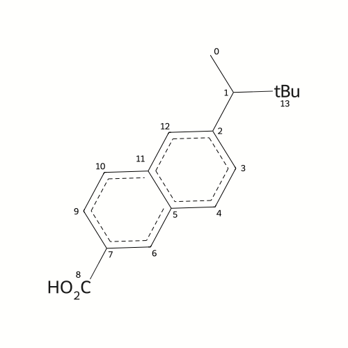 CC(c1ccc2cc(C(=O)O)ccc2c1)C(C)(C)C